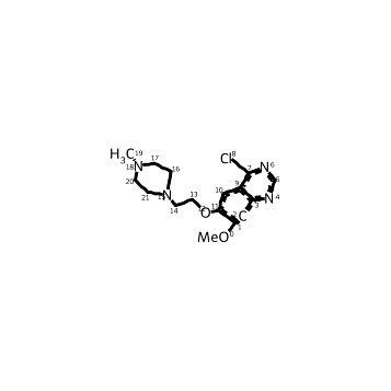 COc1cc2ncnc(Cl)c2cc1OCCN1CCN(C)CC1